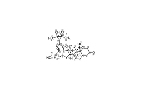 C[C@@H]1C[C@H]2[C@@H]3CCC4=CC(=O)C=C(O)[C@]4(C)[C@H]3CC[C@]2(C)[C@@]1(OC(=O)C1C(C)(C)C1(C)C)C(=O)SCC#N